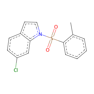 Cc1ccccc1S(=O)(=O)n1ccc2ccc(Cl)cc21